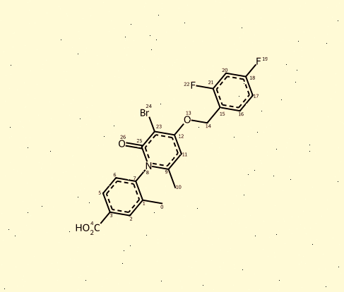 Cc1cc(C(=O)O)ccc1-n1c(C)cc(OCc2ccc(F)cc2F)c(Br)c1=O